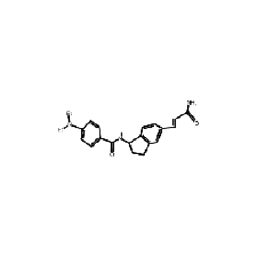 CCN(CC)c1ccc(C(=O)NC2CCc3cc(/C=C/C(N)=O)ccc32)cc1